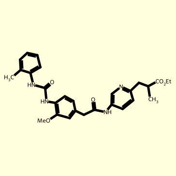 CCOC(=O)C(C)Cc1ccc(NC(=O)Cc2ccc(NC(=O)Nc3ccccc3C)c(OC)c2)cn1